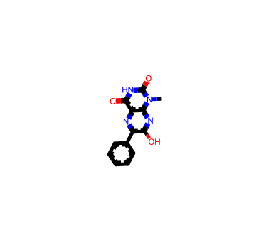 Cn1c(=O)[nH]c(=O)c2nc(-c3ccccc3)c(O)nc21